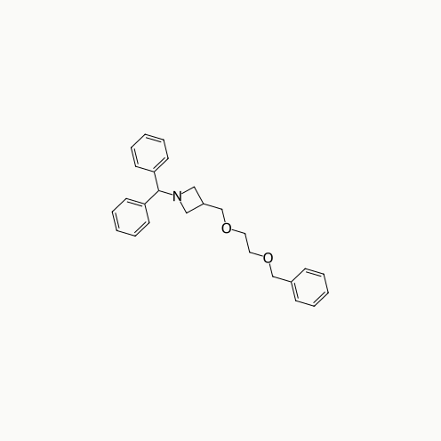 c1ccc(COCCOCC2CN(C(c3ccccc3)c3ccccc3)C2)cc1